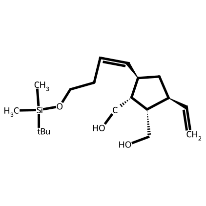 C=C[C@@H]1C[C@H](/C=C\CCO[Si](C)(C)C(C)(C)C)[C@@H](CO)[C@H]1CO